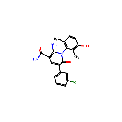 Cc1ccc(O)c(C)c1-n1c(N)c(C(N)=O)cc(-c2cccc(Cl)c2)c1=O